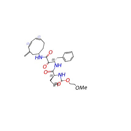 C=C1/C=C\C=C/CCC(NC(=O)C(=O)[C@H](Cc2ccccc2)NC(=O)[C@H](CC(C)C)NC(=O)OCCOC)C1